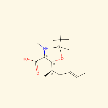 CC=CC[C@@H](C)[C@@H](O[Si](C)(C)C(C)(C)C)[C@H](NC)C(=O)O